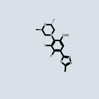 Cc1nnc(-c2cc(C=O)c(N3C[C@@H](C)O[C@H](C)C3)c(F)c2F)s1